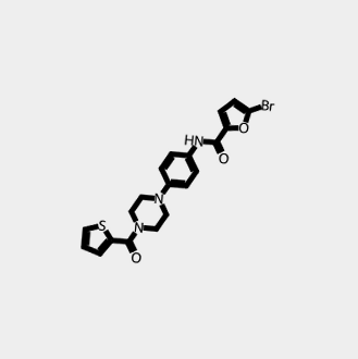 O=C(Nc1ccc(N2CCN(C(=O)c3cccs3)CC2)cc1)c1ccc(Br)o1